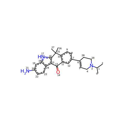 CC(C)N1CC=C(c2ccc3c(c2)C(=O)c2c([nH]c4cc(N)ccc24)C3(C)C)CC1